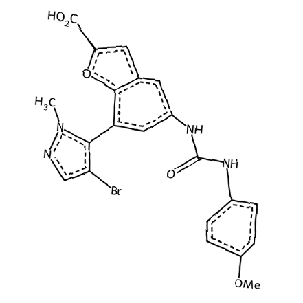 COc1ccc(NC(=O)Nc2cc(-c3c(Br)cnn3C)c3oc(C(=O)O)cc3c2)cc1